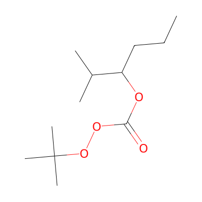 CCCC(OC(=O)OOC(C)(C)C)C(C)C